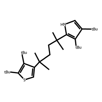 CC(C)(C)c1c[nH]c(C(C)(C)CCC(C)(C)c2csc(C(C)(C)C)c2C(C)(C)C)c1C(C)(C)C